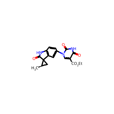 CCOC(=O)c1cn(-c2ccc3c(c2)C2(C[C@H]2C)C(=O)N3)c(=O)[nH]c1=O